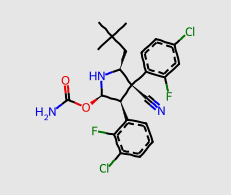 CC(C)(C)C[C@@H]1N[C@H](OC(N)=O)[C@H](c2cccc(Cl)c2F)[C@@]1(C#N)c1ccc(Cl)cc1F